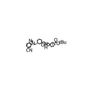 CC1(CNC[C@@]2(O)CCC[C@H](Cn3cnc4ccc(C#N)cc43)C2)CCN(C(=O)OC(C)(C)C)C1